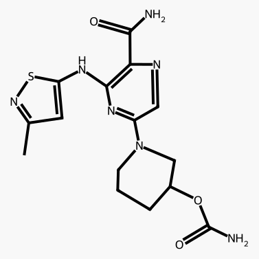 Cc1cc(Nc2nc(N3CCCC(OC(N)=O)C3)cnc2C(N)=O)sn1